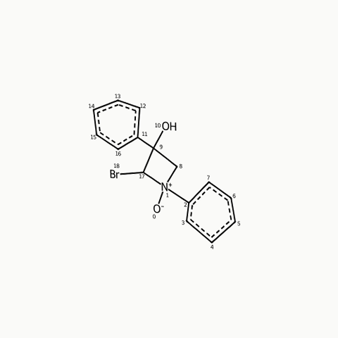 [O-][N+]1(c2ccccc2)CC(O)(c2ccccc2)C1Br